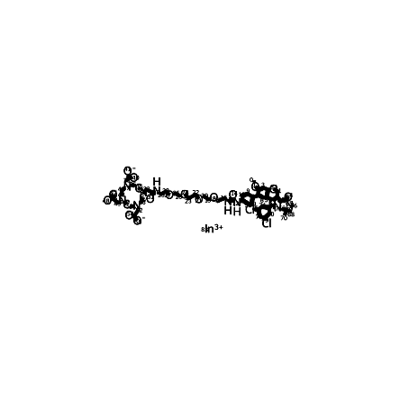 COc1cc2c(cc1-c1ccc(NC(=O)NCCOCCOCCOCCOCCNC(=O)CN3CCN(CC(=O)[O-])CCN(CC(=O)[O-])CCN(CC(=O)[O-])CC3)cc1)-c1c(c(C(=O)N(C)C(C)(C)C)nn1-c1cc(Cl)cc(Cl)c1)CO2.[In+3]